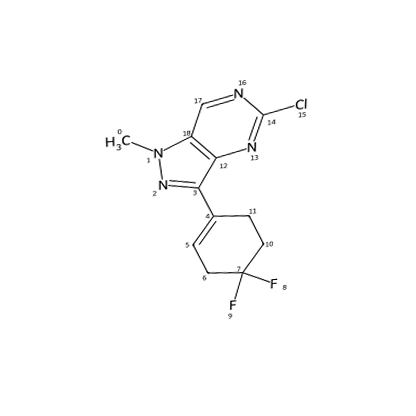 Cn1nc(C2=CCC(F)(F)CC2)c2nc(Cl)ncc21